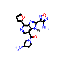 CCn1c(-c2nonc2N)nc2c(-c3ccco3)ncc(C(=O)N3CCC(N)C3)c21